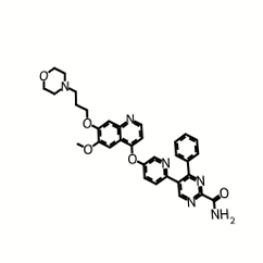 COc1cc2c(Oc3ccc(-c4cnc(C(N)=O)nc4-c4ccccc4)nc3)ccnc2cc1OCCCN1CCOCC1